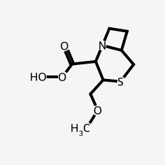 COCC1SCC2CCN2C1C(=O)OO